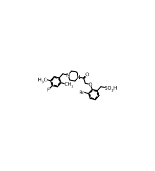 Cc1cc(CN2CCN(C(=O)COc3c(Br)cccc3CS(=O)(=O)O)CC2)c(C)cc1F